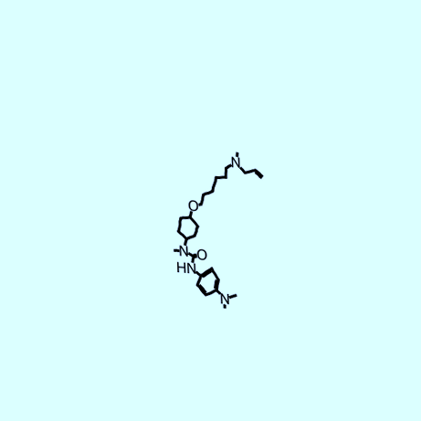 C=CCN(C)CCCCCCOC1CCC(N(C)C(=O)Nc2ccc(N(C)C)cc2)CC1